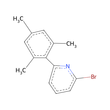 Cc1cc(C)c(-c2cccc(Br)n2)c(C)c1